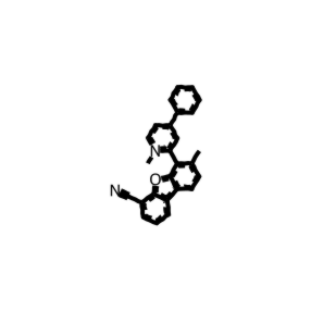 Cc1ccc2c(oc3c(C#N)cccc32)c1-c1cc(-c2ccccc2)cc[n+]1C